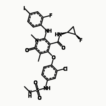 CNS(=O)(=O)Nc1ccc(Oc2c(C(=O)N[C@H]3C[C@H]3F)c(Nc3ccc(I)cc3F)n(C)c(=O)c2C)c(Cl)c1